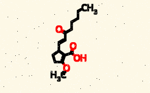 CCCCCC(=O)C=CC1CCC(OC)=C1C(=O)O